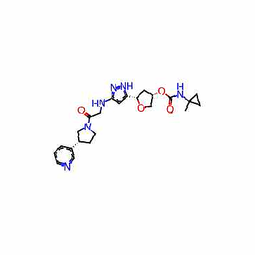 CC1(NC(=O)O[C@@H]2CO[C@H](c3cc(NCC(=O)N4CC[C@H](c5cccnc5)C4)n[nH]3)C2)CC1